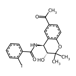 CC(=O)c1ccc2c(c1)[C@H](NC(=O)c1ccccc1I)[C@@H](O)C(C)(C)O2